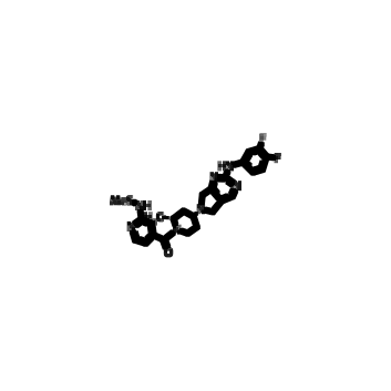 CSNc1cc(C(=O)N2CC[C@@H](N3Cc4cnc(Nc5ccc(F)c(F)c5)nc4C3)C[C@H]2C)ccn1